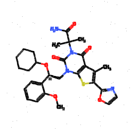 COc1ccccc1[C@H](Cn1c(=O)n(C(C)(C)C(N)=O)c(=O)c2c(C)c(-c3ncco3)sc21)OC1CCCCC1